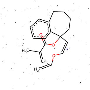 C=CO/C=C\C1(OC(=O)C(=C)C)CCCCc2ccccc21